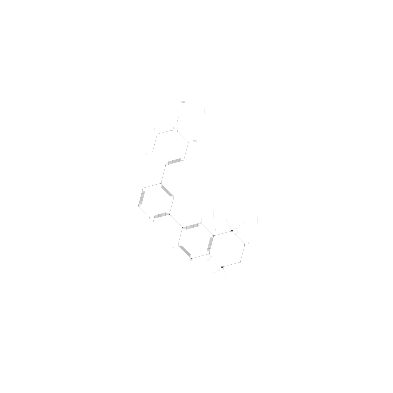 CC1(C)CCC(C)(C)c2cc(-c3cc(C4=CCN(C(=O)O)CC4)ccn3)ccc21